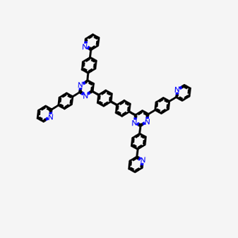 c1ccc(-c2ccc(-c3cc(-c4ccc(-c5ccc(-c6cc(-c7ccc(-c8ccccn8)cc7)nc(-c7ccc(-c8ccccn8)cc7)n6)cc5)cc4)nc(-c4ccc(-c5ccccn5)cc4)n3)cc2)nc1